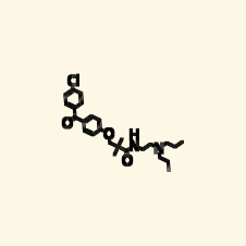 CCCN(CCC)CCNC(=O)C(C)(C)COc1ccc(C(=O)c2ccc(Cl)cc2)cc1